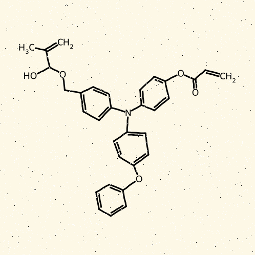 C=CC(=O)Oc1ccc(N(c2ccc(COC(O)C(=C)C)cc2)c2ccc(Oc3ccccc3)cc2)cc1